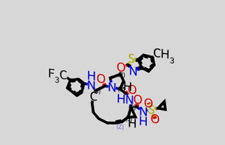 Cc1ccc2nc(O[C@@H]3C[C@H]4C(=O)N[C@]5(C(=O)NS(=O)(=O)C6CC6)C[C@H]5/C=C\CCCCC[C@H](Nc5cccc(C(F)(F)F)c5)C(=O)N4C3)sc2c1